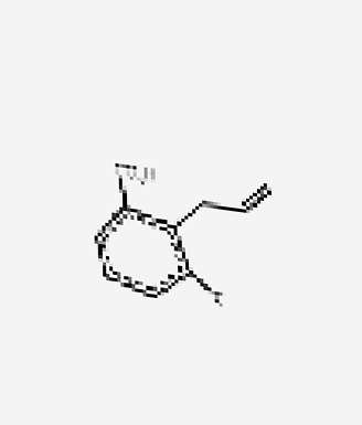 C=CCc1c(Cl)cccc1C(=O)O